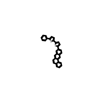 c1ccc(-c2ccc(-c3ccc(-c4ccc5cc6c(ccc7ccccc76)cc5c4)s3)s2)cc1